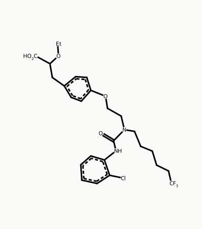 CCOC(Cc1ccc(OCCN(CCCCCC(F)(F)F)C(=O)Nc2ccccc2Cl)cc1)C(=O)O